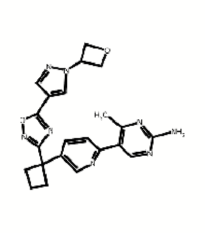 Cc1nc(N)ncc1-c1ccc(C2(c3noc(-c4cnn(C5COC5)c4)n3)CCC2)cn1